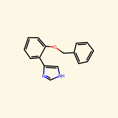 c1ccc(COc2ccccc2-c2c[nH]cn2)cc1